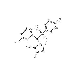 Cn1c(Cl)cnc1C(c1cc(F)ccc1F)S(=O)(=O)c1ccc(Cl)cc1